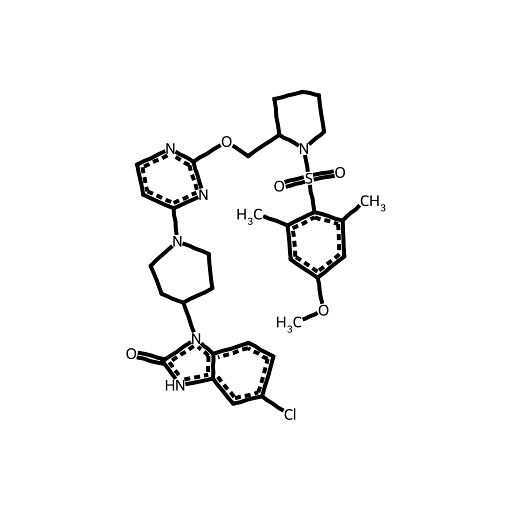 COc1cc(C)c(S(=O)(=O)N2CCCCC2COc2nccc(N3CCC(n4c(=O)[nH]c5cc(Cl)ccc54)CC3)n2)c(C)c1